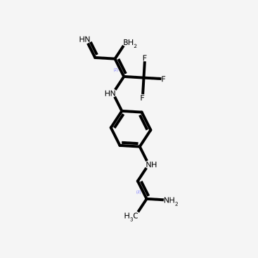 B/C(C=N)=C(/Nc1ccc(N/C=C(/C)N)cc1)C(F)(F)F